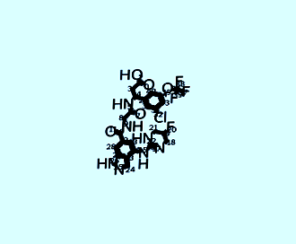 O=C(O)CC(NC(=O)CNC(=O)c1cc(NC2=NCC(F)CN2)c2cn[nH]c2c1)c1cc(Cl)cc(OC(F)(F)F)c1